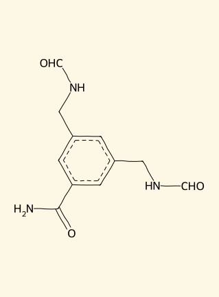 NC(=O)c1cc(CNC=O)cc(CNC=O)c1